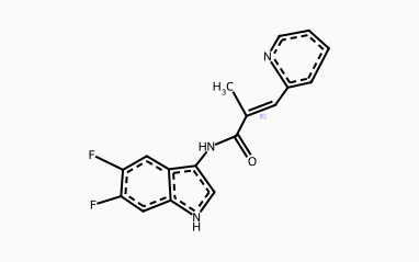 C/C(=C\c1ccccn1)C(=O)Nc1c[nH]c2cc(F)c(F)cc12